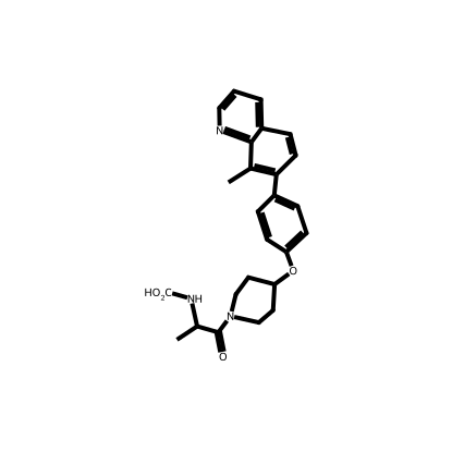 Cc1c(-c2ccc(OC3CCN(C(=O)C(C)NC(=O)O)CC3)cc2)ccc2cccnc12